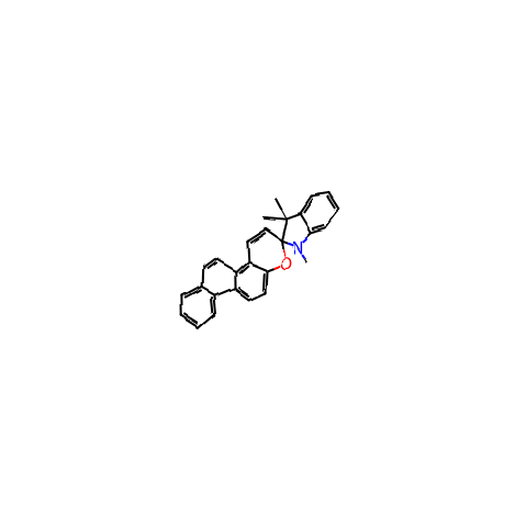 CN1c2ccccc2C(C)(C)C12C=Cc1c(ccc3c1ccc1ccccc13)O2